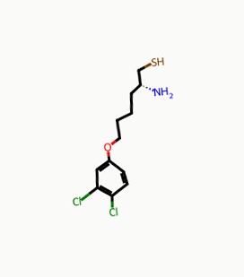 N[C@@H](CS)CCCCOc1ccc(Cl)c(Cl)c1